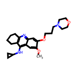 COc1cc2c(NC3CC3)c3c(nc2cc1OCCCN1CCOCC1)CCCC3